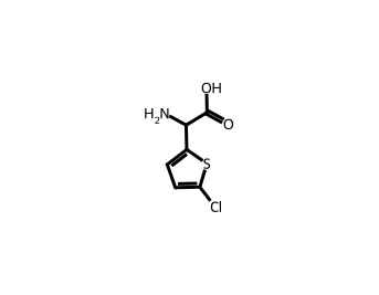 NC(C(=O)O)c1ccc(Cl)s1